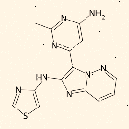 Cc1nc(N)cc(-c2c(Nc3cscn3)nc3cccnn23)n1